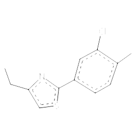 CCc1csc(-c2ccc(C)c(Cl)c2)n1